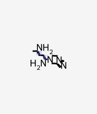 C/C(N)=C/C=C(\N)N1CCn2cncc2C1